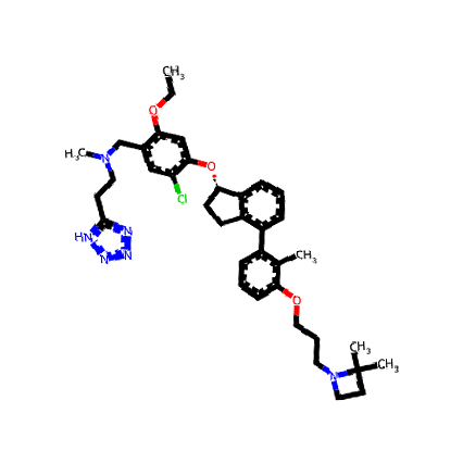 CCOc1cc(O[C@H]2CCc3c(-c4cccc(OCCCN5CCC5(C)C)c4C)cccc32)c(Cl)cc1CN(C)CCc1nnn[nH]1